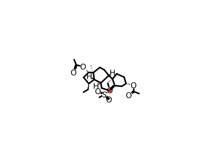 CC[C@H]1C[C@H](OC(C)=O)[C@@]2(C)CC[C@H]3[C@@H](CC=C4C[C@@H](OC(C)=O)CC[C@@]43COS(C)(=O)=O)[C@H]12